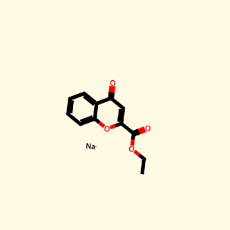 CCOC(=O)c1cc(=O)c2ccccc2o1.[Na]